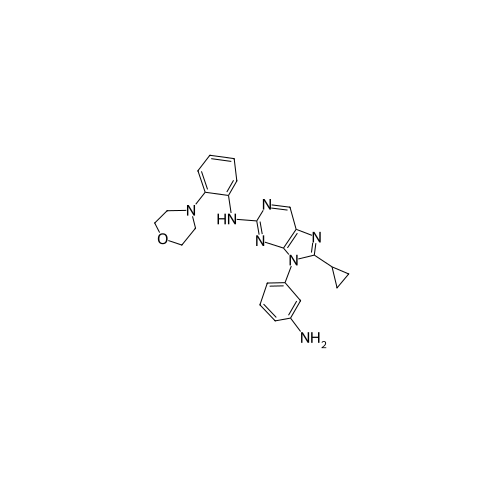 Nc1cccc(-n2c(C3CC3)nc3cnc(Nc4ccccc4N4CCOCC4)nc32)c1